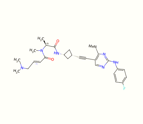 CNc1nc(Nc2ccc(F)cc2)ncc1C#C[C@H]1C[C@@H](NC(=O)[C@H](C)N(C)C(=O)/C=C/CN(C)C)C1